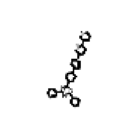 c1ccc(-c2nc(-c3ccccc3)nc(-c3ccc(-c4ccc(-c5ccc(-c6cccnc6)nc5)cc4)cc3)n2)cc1